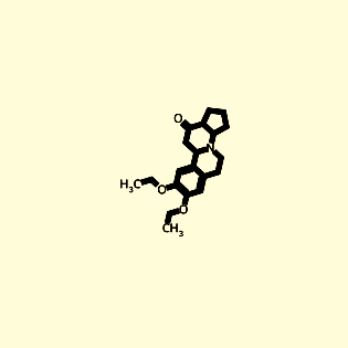 CCOc1cc2c(cc1OCC)C1CC(=O)C3CCCC3N1CC2